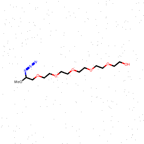 COC(COCCOCCOCCOCCOCCO)N=[N+]=[N-]